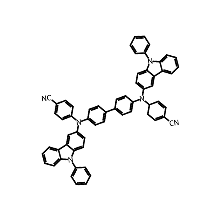 N#CC1=CCC(N(c2ccc(-c3ccc(N(c4ccc(C#N)cc4)c4ccc5c(c4)c4ccccc4n5-c4ccccc4)cc3)cc2)c2ccc3c(c2)c2ccccc2n3-c2ccccc2)C=C1